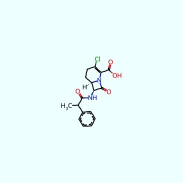 CC(C(=O)N[C@@H]1C(=O)N2C(C(=O)O)=C(Cl)CC[C@H]12)c1ccccc1